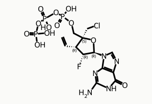 C=C[C@H]1[C@@H](F)[C@H](n2cnc3c(=O)[nH]c(N)nc32)O[C@]1(CCl)COP(=O)(O)OP(=O)(O)OP(=O)(O)O